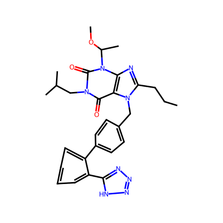 CCCc1nc2c(c(=O)n(CC(C)C)c(=O)n2C(C)OC)n1Cc1ccc(-c2ccccc2-c2nnn[nH]2)cc1